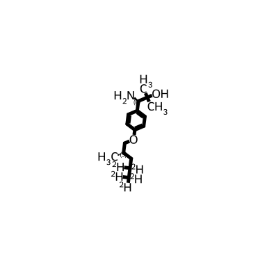 [2H]C([2H])([2H])C([2H])([2H])C[C@H](C)COc1ccc([C@@H](N)C(C)(C)O)cc1